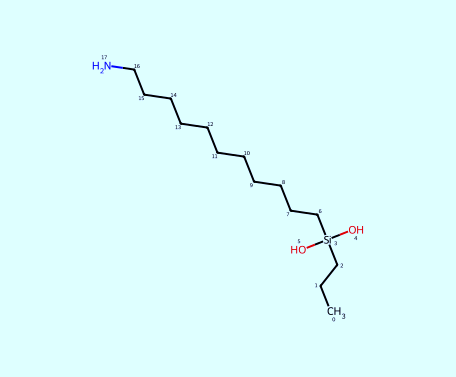 CCC[Si](O)(O)CCCCCCCCCCCN